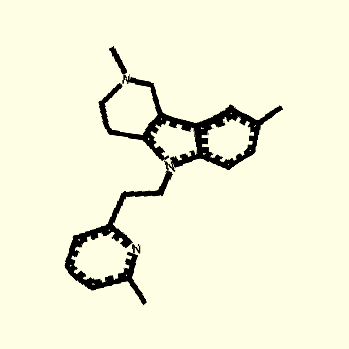 Cc1ccc2c(c1)c1c(n2CCc2cccc(C)n2)CCN(C)C1